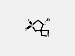 CC[C@H]1CS(=O)(=O)CC12COC2